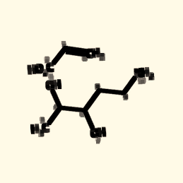 C=CC(=O)O.CC(O)C(O)CCN